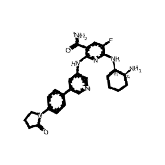 NC(=O)c1cc(F)c(N[C@@H]2CCCC[C@@H]2N)nc1Nc1cncc(-c2ccc(N3CCCC3=O)cc2)c1